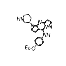 CCOc1ccc(Nc2c3ccn([C@H]4CCCNC4)c3nc3ccnn23)cc1